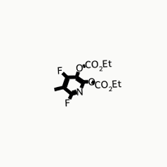 CCOC(=O)Oc1nc(F)c(C)c(F)c1OC(=O)OCC